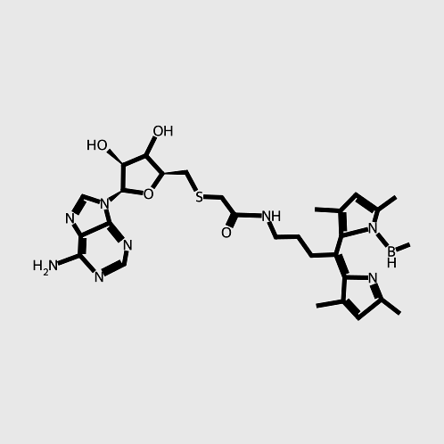 CBn1c(C)cc(C)c1/C(CCCNC(=O)CSC[C@H]1O[C@@H](n2cnc3c(N)ncnc32)[C@@H](O)C1O)=C1\N=C(C)C=C1C